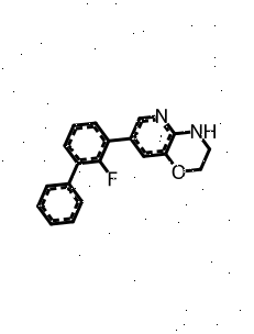 Fc1c(-c2ccccc2)cccc1-c1cnc2c(c1)OCCN2